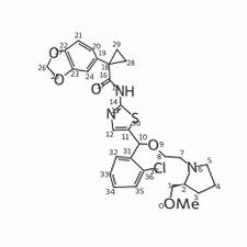 COC[C@@H]1CCCN1CCOC(c1cnc(NC(=O)C2(c3ccc4c(c3)OCO4)CC2)s1)c1ccccc1Cl